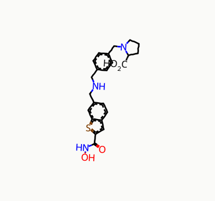 O=C(NO)c1cc2ccc(CNCc3ccc(CN4CCCC4C(=O)O)cc3)cc2s1